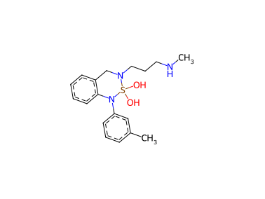 CNCCCN1Cc2ccccc2N(c2cccc(C)c2)S1(O)O